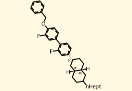 CCCCCCCC1CC[C@@H]2C[C@H](c3ccc(-c4ccc(OCc5ccccc5)c(F)c4)c(F)c3)CC[C@@H]2C1